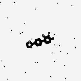 Fc1c(I)ccc(-c2ccc(C3OCCO3)cc2)c1F